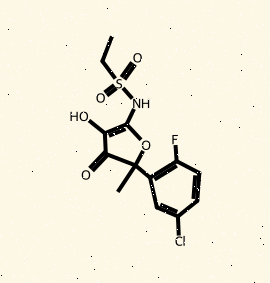 CCS(=O)(=O)NC1=C(O)C(=O)C(C)(c2cc(Cl)ccc2F)O1